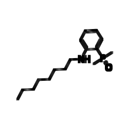 CCCCCCCCNc1ccccc1P(C)(C)=O